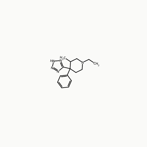 CCN1CCC(c2ccccc2)(c2nn[nH]n2)C(C)C1